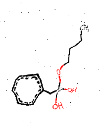 CCCCO[Si](O)(O)c1ccccc1